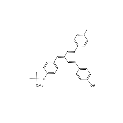 COC(C)(C)Oc1ccc(C=C(C=Cc2ccc(C)cc2)C=Cc2ccc(O)cc2)cc1